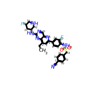 CCc1cc(-c2ccc(NS(=O)(=O)Cc3ccc(C#N)cc3)c(F)c2)nc2cnc(N[C@@H]3CNC[C@@H](F)C3)nc12